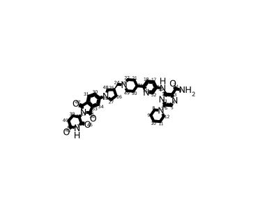 NC(=O)c1ncc(N2CCCCC2)nc1Nc1ccc(C2CCN(C[C@H]3CCN(c4ccc5c(c4)C(=O)N(C4CCC(=O)NC4=O)C5=O)C3)CC2)nc1